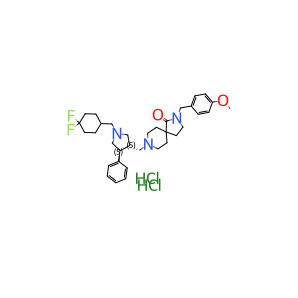 COc1ccc(CN2CCC3(CCN(C[C@H]4CN(CC5CCC(F)(F)CC5)C[C@@H]4c4ccccc4)CC3)C2=O)cc1.Cl.Cl